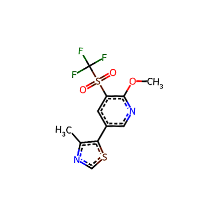 COc1ncc(-c2scnc2C)cc1S(=O)(=O)C(F)(F)F